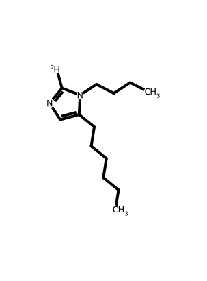 [2H]c1ncc(CCCCCC)n1CCCC